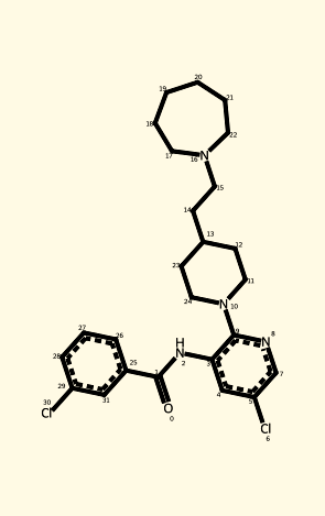 O=C(Nc1cc(Cl)cnc1N1CCC(CCN2CCCCCC2)CC1)c1cccc(Cl)c1